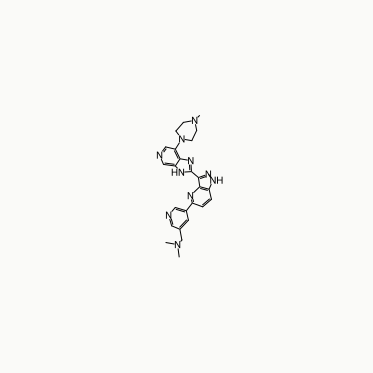 CN(C)Cc1cncc(-c2ccc3[nH]nc(-c4nc5c(N6CCN(C)CC6)cncc5[nH]4)c3n2)c1